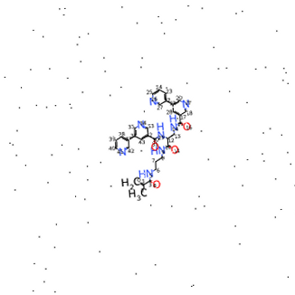 C=C(C)C(=O)NCCCNC(=O)C(CNC(=O)c1cncc(-c2cccnc2)c1)NC(=O)c1cncc(-c2cccnc2)c1